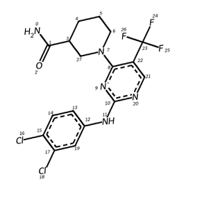 NC(=O)C1CCCN(c2nc(Nc3ccc(Cl)c(Cl)c3)ncc2C(F)(F)F)C1